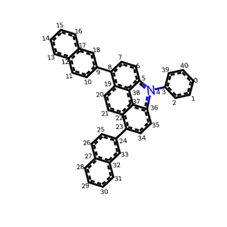 c1ccc(-n2c3ccc(-c4ccc5ccccc5c4)c4ccc5c(-c6ccc7ccccc7c6)ccc2c5c43)cc1